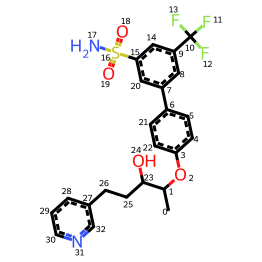 CC(Oc1ccc(-c2cc(C(F)(F)F)cc(S(N)(=O)=O)c2)cc1)C(O)CCc1cccnc1